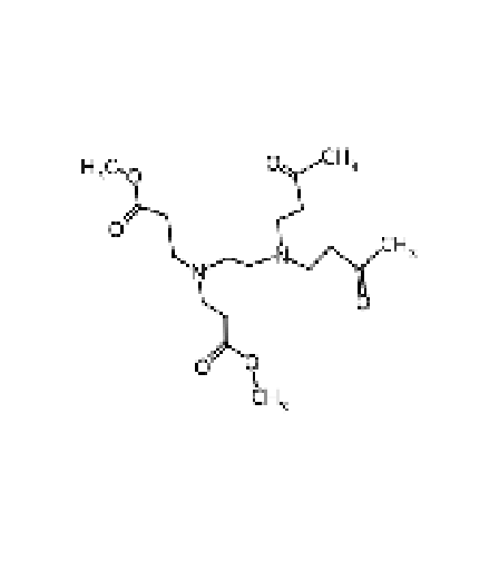 COC(=O)CCN(CCC(=O)OC)CCN(CCC(C)=O)CCC(C)=O